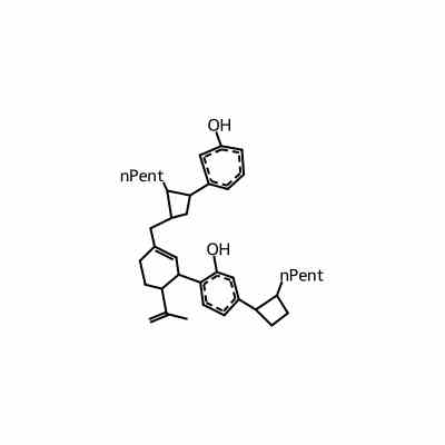 C=C(C)C1CCC(CC2CC(c3cccc(O)c3)C2CCCCC)=CC1c1ccc(C2CCC2CCCCC)cc1O